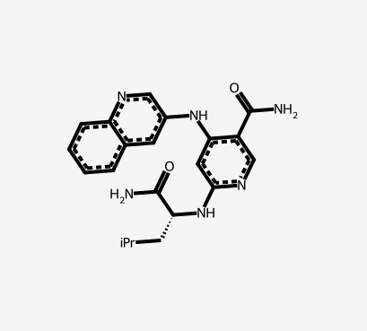 CC(C)C[C@@H](Nc1cc(Nc2cnc3ccccc3c2)c(C(N)=O)cn1)C(N)=O